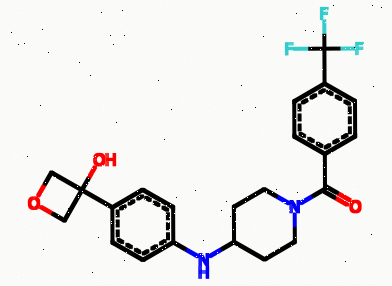 O=C(c1ccc(C(F)(F)F)cc1)N1CCC(Nc2ccc(C3(O)COC3)cc2)CC1